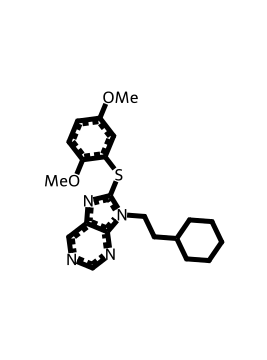 COc1ccc(OC)c(Sc2nc3cncnc3n2CCC2CCCCC2)c1